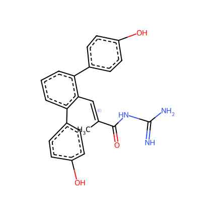 C/C(=C\c1c(-c2ccc(O)cc2)cccc1-c1ccc(O)cc1)C(=O)NC(=N)N